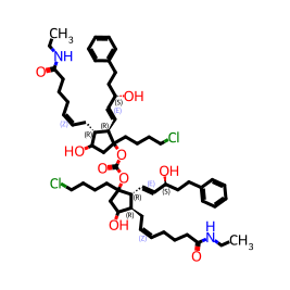 CCNC(=O)CCC/C=C\C[C@H]1C(O)CC(CCCCCl)(OC(=O)OC2(CCCCCl)CC(O)[C@H](C/C=C\CCCC(=O)NCC)[C@H]2/C=C/[C@@H](O)CCc2ccccc2)[C@@H]1/C=C/[C@@H](O)CCc1ccccc1